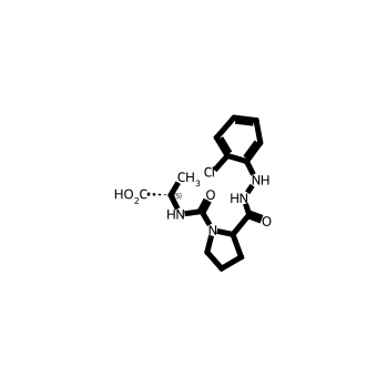 C[C@H](NC(=O)N1CCCC1C(=O)NNc1ccccc1Cl)C(=O)O